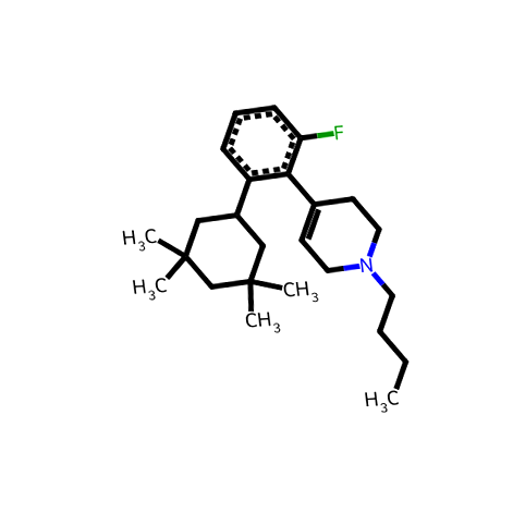 CCCCN1CC=C(c2c(F)cccc2C2CC(C)(C)CC(C)(C)C2)CC1